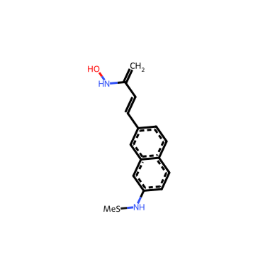 C=C(/C=C/c1ccc2ccc(NSC)cc2c1)NO